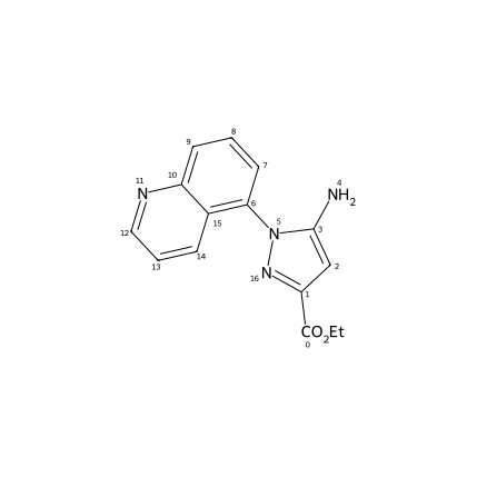 CCOC(=O)c1cc(N)n(-c2cccc3ncccc23)n1